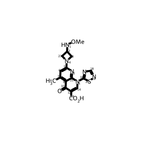 CONC1CN(c2cc(C)c3c(=O)c(C(=O)O)cn(-c4ncns4)c3n2)C1